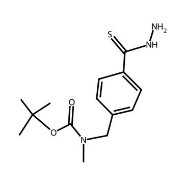 CN(Cc1ccc(C(=S)NN)cc1)C(=O)OC(C)(C)C